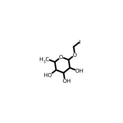 CC1OC(OCI)C(O)C(O)C1O